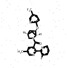 Cc1cnc(-c2ncccc2F)c(C(=O)N2C[C@H]3C[C@@H](Oc4ccc(C(F)(F)F)cn4)[C@@H]2C3)c1